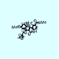 CNC(=O)c1ccc2[nH]c(=O)c(C(=O)OCC3=COCO3)c(Nc3ccc(OC)cc3)c2c1C